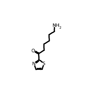 NCCCCCC(=O)c1nccs1